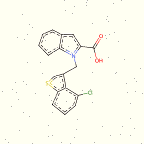 O=C(O)c1cc2ccccc2n1Cc1csc2cccc(Cl)c12